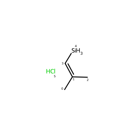 CC(C)=C[SiH3].Cl